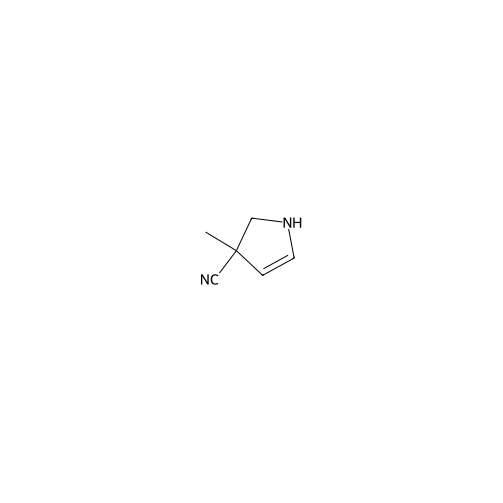 CC1(C#N)C=CNC1